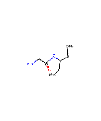 COCC(COC)NC(=O)CN